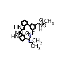 C=C(C)/C=C(\C=N/C)c1ccc2[nH]nc(-c3cc4c(-c5cc(F)cc(CNS(C)(=O)=O)c5)cccc4[nH]3)c2c1